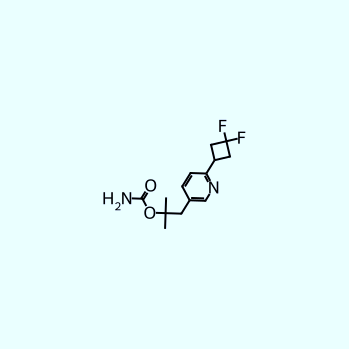 CC(C)(Cc1ccc(C2CC(F)(F)C2)nc1)OC(N)=O